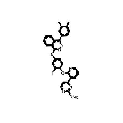 CNc1nccc(-c2cccnc2Oc2ccc(Nc3nnc(-c4ccc(C)c(C)c4)c4ccccc34)cc2F)n1